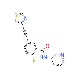 O=C(Nc1cccnc1)c1cc(C#Cc2cscn2)ccc1F